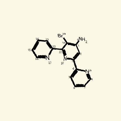 Nc1cc(-c2ccccn2)nc(-c2ccccn2)c1Br